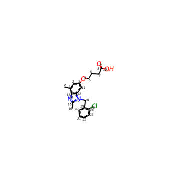 Cc1cc(OCCCC(=O)O)cc2c1nc(C)n2Cc1ccccc1Cl